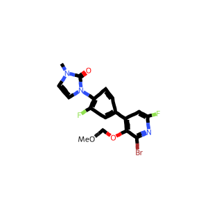 COCOc1c(-c2ccc(-n3ccn(C)c3=O)c(F)c2)cc(F)nc1Br